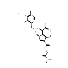 COc1c(C)cnc(Cn2nc3cc(C(=O)NCC(=O)N(C)C)c4c-3c(n2)C(N)=NSC4)c1C